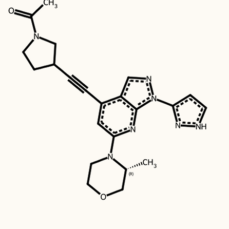 CC(=O)N1CCC(C#Cc2cc(N3CCOC[C@H]3C)nc3c2cnn3-c2cc[nH]n2)C1